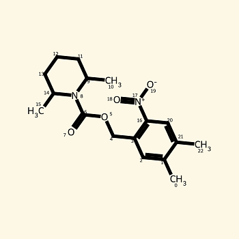 Cc1cc(COC(=O)N2C(C)CCCC2C)c([N+](=O)[O-])cc1C